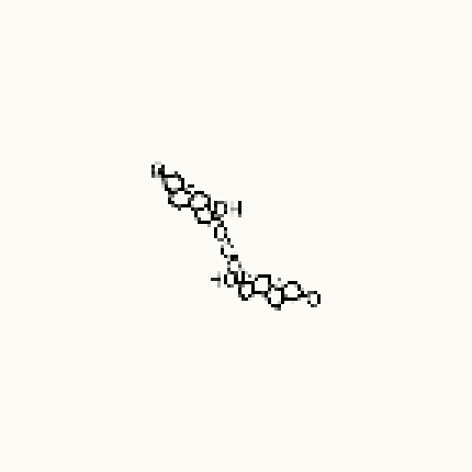 C[C@]12CCC(=O)C=C1CCC1C2CC[C@@]2(C)C1CC[C@]2(O)COCOCOC[C@@]1(O)CCC2C3CCC4=CC(=O)CC[C@]4(C)C3CC[C@@]21C